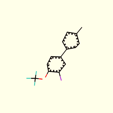 Cc1ccc(-c2ccc(OC(F)(F)F)c(I)c2)cc1